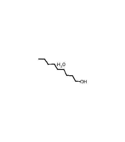 CCCCCCCCCO.O